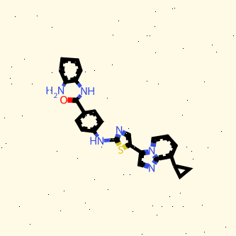 Nc1ccccc1NC(=O)c1ccc(Nc2ncc(-c3cnc4c(C5CC5)cccn34)s2)cc1